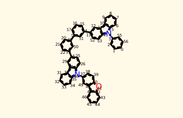 c1ccc(-n2c3ccccc3c3cc(-c4cccc(-c5cccc(-c6ccc7c(c6)c6ccccc6n7-c6ccc7oc8ccccc8c7c6)c5)c4)ccc32)cc1